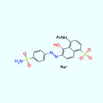 CC(=O)Nc1ccc(S(=O)(=O)[O-])c2ccc(N=Nc3ccc(S(N)(=O)=O)cc3)c(O)c12.[Na+]